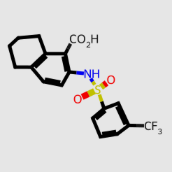 O=C(O)c1c(NS(=O)(=O)c2cccc(C(F)(F)F)c2)ccc2c1CCCC2